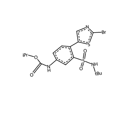 CC(C)OC(=O)Nc1ccc(-c2cnc(Br)s2)c(S(=O)(=O)NC(C)(C)C)c1